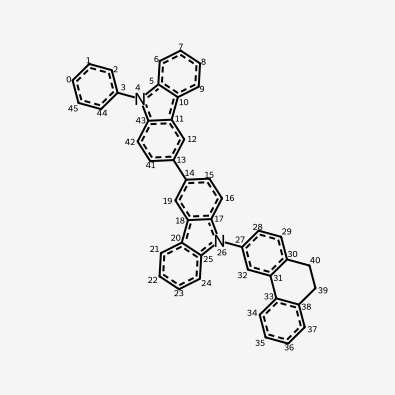 c1ccc(-n2c3ccccc3c3cc(-c4ccc5c(c4)c4ccccc4n5-c4ccc5c(c4)-c4ccccc4CC5)ccc32)cc1